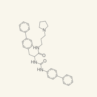 O=C(Nc1ccc(-c2ccccc2)cc1)NC(Cc1ccc(-c2ccccc2)cc1)C(=O)NCCCN1CCCC1